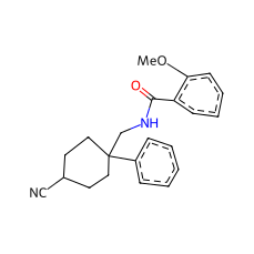 COc1ccccc1C(=O)NCC1(c2ccccc2)CCC(C#N)CC1